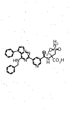 CC(CS(N)(=O)=O)(NC(=O)c1cncc(-c2nc(NCc3ccccc3)c3c(-c4ccccc4)ccn3n2)c1)C(=O)O